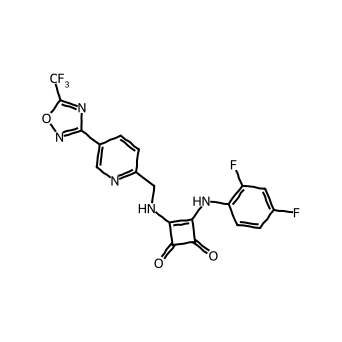 O=c1c(NCc2ccc(-c3noc(C(F)(F)F)n3)cn2)c(Nc2ccc(F)cc2F)c1=O